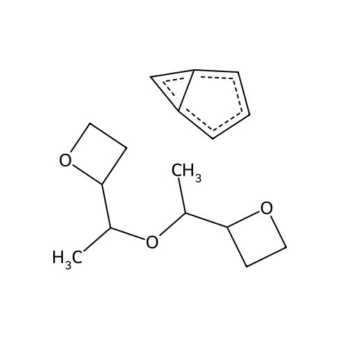 CC(OC(C)C1CCO1)C1CCO1.c1cc2cc-2c1